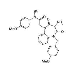 COc1ccc(CN2C(=O)C(N)C(=O)N(CC(=O)N(c3ccc(OC)cc3)C(C)C)c3ccccc32)cc1